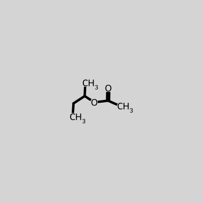 CCC(C)OC(C)=O